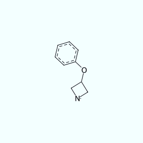 c1ccc(OC2C[N]C2)cc1